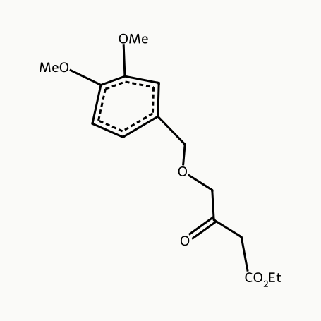 CCOC(=O)CC(=O)COCc1ccc(OC)c(OC)c1